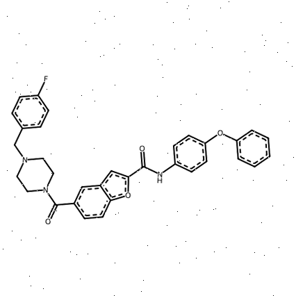 O=C(Nc1ccc(Oc2ccccc2)cc1)c1cc2cc(C(=O)N3CCN(Cc4ccc(F)cc4)CC3)ccc2o1